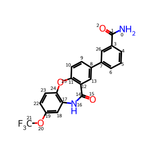 NC(=O)c1cccc(-c2ccc3c(c2)C(=O)Nc2cc(OC(F)(F)F)ccc2O3)c1